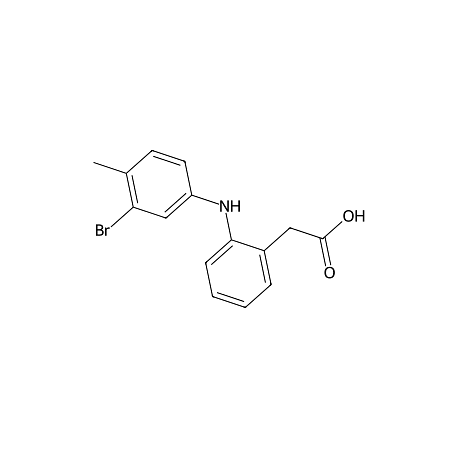 Cc1ccc(Nc2ccccc2CC(=O)O)cc1Br